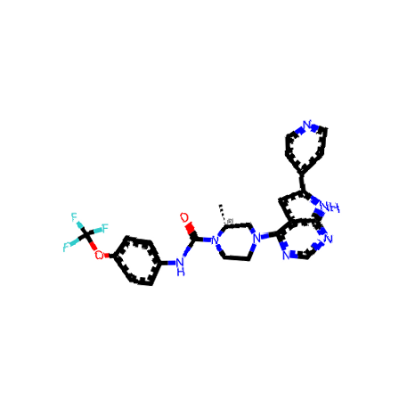 C[C@@H]1CN(c2ncnc3[nH]c(-c4ccncc4)cc23)CCN1C(=O)Nc1ccc(OC(F)(F)F)cc1